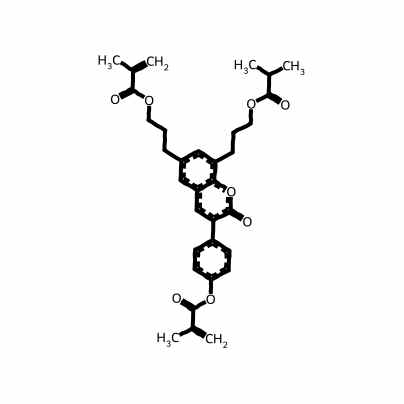 C=C(C)C(=O)OCCCc1cc(CCCOC(=O)C(C)C)c2oc(=O)c(-c3ccc(OC(=O)C(=C)C)cc3)cc2c1